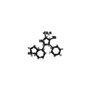 CCc1c(C(=O)O)[nH]c(-c2cccc3[nH]ccc23)c1-c1ccccc1